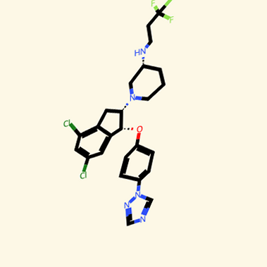 FC(F)(F)CCN[C@@H]1CCCN([C@H]2Cc3c(Cl)cc(Cl)cc3[C@H]2Oc2ccc(-n3cncn3)cc2)C1